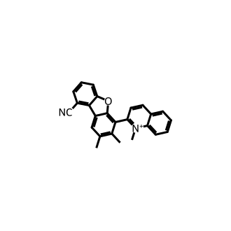 Cc1cc2c(oc3cccc(C#N)c32)c(-c2ccc3ccccc3[n+]2C)c1C